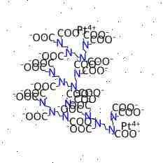 O=C([O-])CN(CCN(CCN(CC(=O)[O-])CC(=O)[O-])CC(=O)[O-])CCN(CC(=O)[O-])CC(=O)[O-].O=C([O-])CN(CCN(CCN(CC(=O)[O-])CC(=O)[O-])CC(=O)[O-])CCN(CC(=O)[O-])CC(=O)[O-].O=C([O-])CN(CCN(CCN(CC(=O)[O-])CC(=O)[O-])CC(=O)[O-])CCN(CC(=O)[O-])CC(=O)[O-].O=C([O-])CN(CCN(CCN(CC(=O)[O-])CC(=O)[O-])CC(=O)[O-])CCN(CC(=O)[O-])CC(=O)[O-].[Pt+4].[Pt+4]